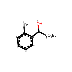 CCOC(=O)C(O)c1ccccc1C(C)C